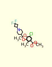 COC(=O)c1cc(Cl)c2c(c1C)O[C@](C)(C1CCN(C3CC(F)(F)C3)CC1)O2